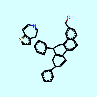 C1=Cc2sccc2CC=N1.OCc1ccc2ccc3c(c2c1)CC(c1ccccc1)C1=C3C=CC(c2ccccc2)C1